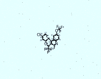 Cc1nc2ccc(OC(F)(F)F)cc2c(-c2ccc(Cl)cc2)c1C(=O)C(F)(F)F